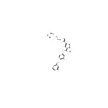 CC(C)C(CNCCc1nc(-c2cc3c(Nc4ccc(OCc5cccc(F)c5)c(Br)c4)ncnc3cn2)cs1)=S(=O)=O